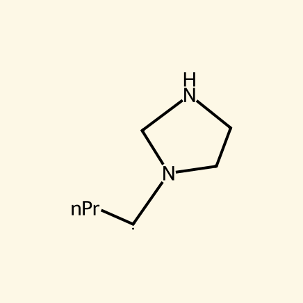 CCC[CH]N1CCNC1